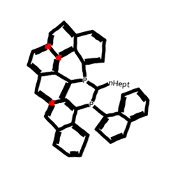 CCCCCCCC(P(c1cccc2ccccc12)c1cccc2ccccc12)P(c1cccc2ccccc12)c1cccc2ccccc12